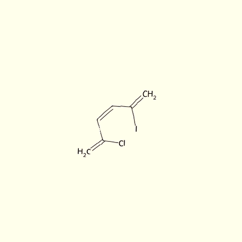 C=C(Cl)/C=C\C(=C)I